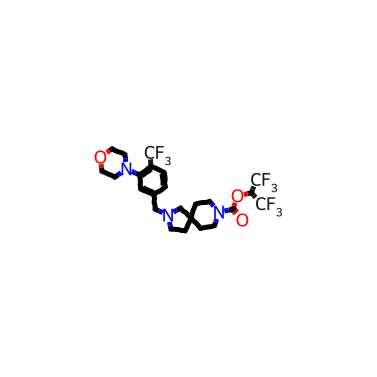 O=C(OC(C(F)(F)F)C(F)(F)F)N1CCC2(CCN(Cc3ccc(C(F)(F)F)c(N4CCOCC4)c3)C2)CC1